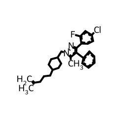 C=C(C)CCCC1CCC(Cn2nc(-c3ccc(Cl)cc3F)c(-c3ccccc3)c2C)CC1